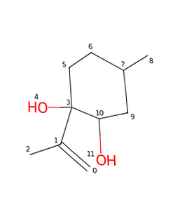 C=C(C)C1(O)CCC(C)CC1O